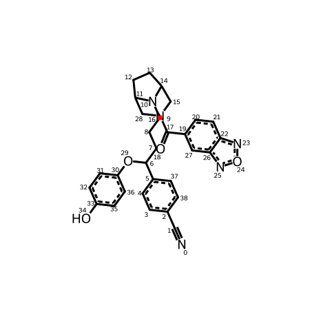 N#Cc1ccc(C(CCCN2C3CCC2CN(C(=O)c2ccc4nonc4c2)C3)Oc2ccc(O)cc2)cc1